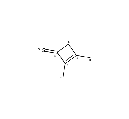 CC1=C(C)C(=S)C1